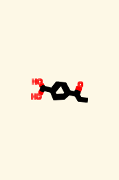 CCC(=O)c1ccc(C(O)O)cc1